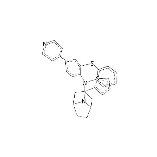 c1csc(CN2C3CCC2CC(N2c4ccccc4Sc4cc(-c5ccncc5)ccc42)C3)c1